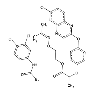 CC(C)=NOCCOC(=O)C(C)Oc1ccc(Oc2cnc3cc(Cl)ccc3n2)cc1.CCC(=O)Nc1ccc(Cl)c(Cl)c1